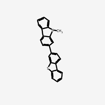 Cn1c2ccccc2c2ccc(-c3ccc4c(c3)sc3ccccc34)cc21